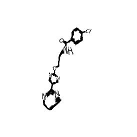 O=C(NCCOc1ncc(-c2ncccn2)cn1)c1ccc(Cl)cc1